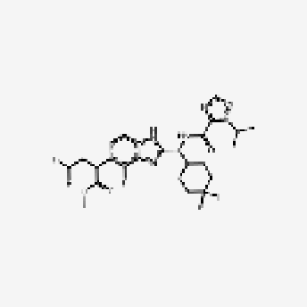 COC(=O)C(CC(F)F)c1ccc2[nH]c(C(NC(=O)c3ncnn3C(C)C)C3CCC(F)(F)CC3)nc2c1F